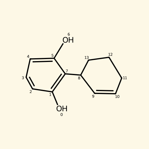 Oc1cccc(O)c1C1C=CCCC1